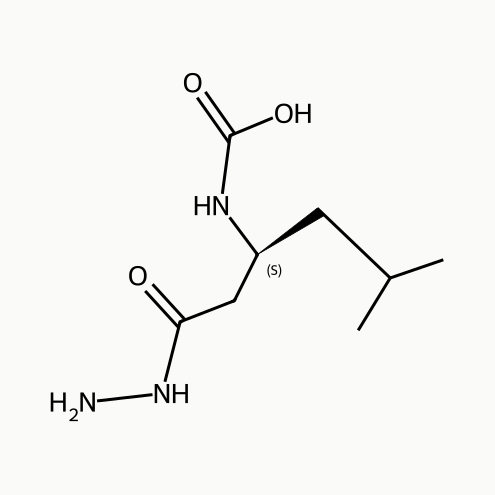 CC(C)C[C@@H](CC(=O)NN)NC(=O)O